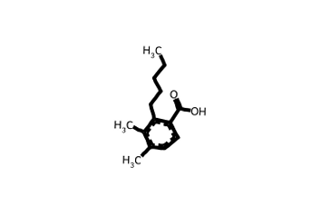 CCCCCc1c(C(=O)O)ccc(C)c1C